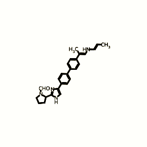 C/C=C/N/C=C(\C)c1ccc(-c2ccc(-c3c[nH]c(C4CCCN4C=O)n3)cc2)cc1